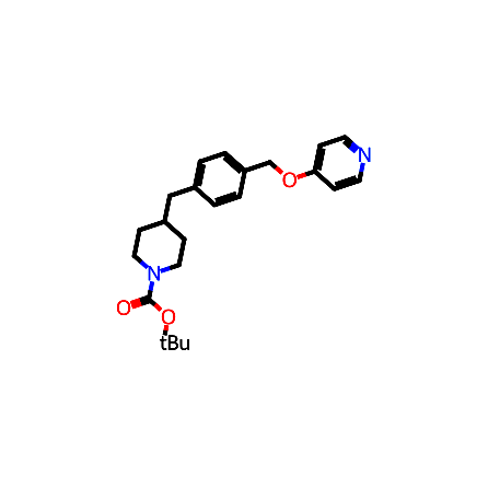 CC(C)(C)OC(=O)N1CCC(Cc2ccc(COc3ccncc3)cc2)CC1